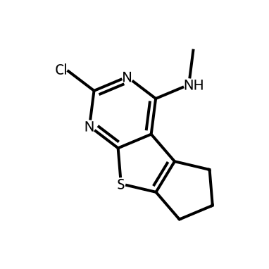 CNc1nc(Cl)nc2sc3c(c12)CCC3